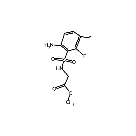 COC(=O)CNS(=O)(=O)c1c(N)ccc(F)c1F